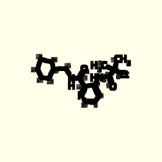 CCC(C)(C)C(=O)Nc1cccnc1C(=O)NCC1CCCCC1